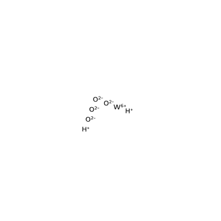 [H+].[H+].[O-2].[O-2].[O-2].[O-2].[W+6]